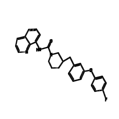 O=C(Nc1cccc2cccnc12)N1CCCC(Cc2cccc(Oc3ccc(F)cc3)c2)C1